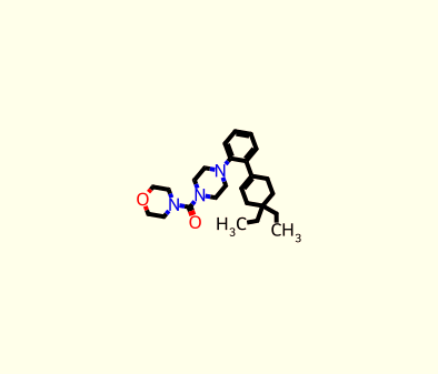 CCC1(CC)CC=C(c2ccccc2N2CCN(C(=O)N3CCOCC3)CC2)CC1